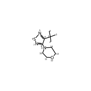 CC(C)(C)c1nsnc1N1CCOCC1